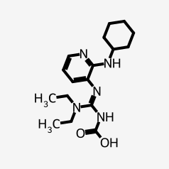 CCN(CC)/C(=N\c1cccnc1NC1CCCCC1)NC(=O)O